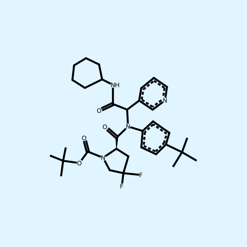 CC(C)(C)OC(=O)N1CC(F)(F)C[C@@H]1C(=O)N(c1ccc(C(C)(C)C)cc1)C(C(=O)NC1CCCCC1)c1cccnc1